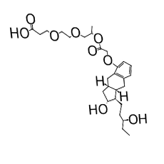 CC[C@H](O)CC[C@@H]1[C@H]2Cc3cccc(OCC(=O)OC(C)COCCOCCC(=O)O)c3C[C@H]2C[C@H]1O